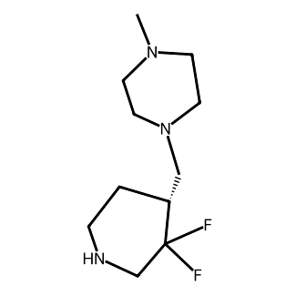 CN1CCN(C[C@H]2CCNCC2(F)F)CC1